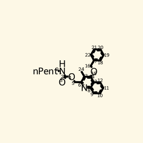 CCCCCNC(=O)OCc1nc2ccccc2c(OCc2ccccc2)c1C